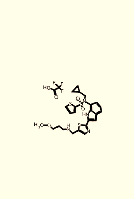 COCCCNCc1cnc(-c2cc3cccc(N(CC4CC4)S(=O)(=O)c4cccs4)c3[nH]2)s1.O=C(O)C(F)(F)F